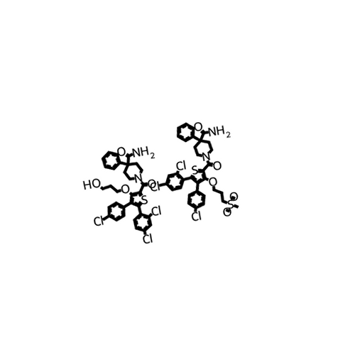 CS(=O)(=O)CCCOc1c(C(=O)N2CCC(C(N)=O)(c3ccccc3)CC2)sc(-c2ccc(Cl)cc2Cl)c1-c1ccc(Cl)cc1.NC(=O)C1(c2ccccc2)CCN(C(=O)c2sc(-c3ccc(Cl)cc3Cl)c(-c3ccc(Cl)cc3)c2OCCCO)CC1